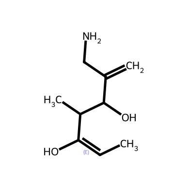 C=C(CN)C(O)C(C)/C(O)=C\C